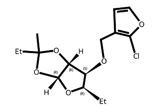 CC[C@H]1O[C@@H]2OC(C)(CC)O[C@@H]2[C@H]1OCc1ccoc1Cl